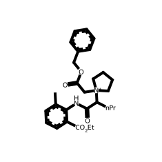 CCCC(C(=O)Nc1c(C)cccc1C(=O)OCC)[N+]1(CC(=O)OCc2ccccc2)CCCC1